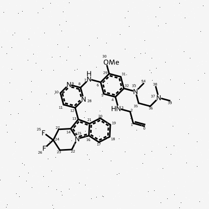 C=CCNc1cc(Nc2nccc(-c3c4n(c5ccccc35)CCC(F)(F)C4)n2)c(OC)cc1N(C)CCN(C)C